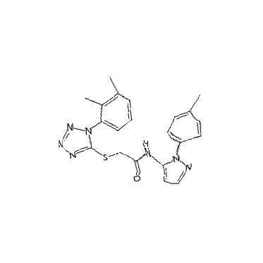 Cc1ccc(-n2nccc2NC(=O)CSc2nnnn2-c2cccc(C)c2C)cc1